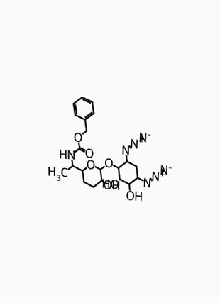 CC(NC(=O)OCc1ccccc1)C1CCC(O)C(OC2C(N=[N+]=[N-])CC(N=[N+]=[N-])C(O)C2O)O1